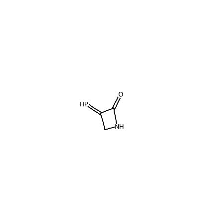 O=C1NCC1=P